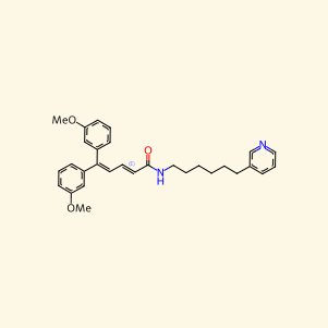 COc1cccc(C(=C/C=C/C(=O)NCCCCCCc2cccnc2)c2cccc(OC)c2)c1